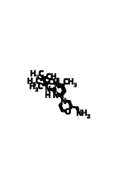 Cc1cc(N2CCO[C@H](CN)C2)nc(NC(C)(C)C(C)(C)C)n1